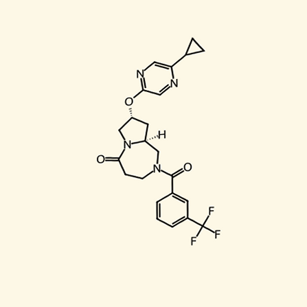 O=C(c1cccc(C(F)(F)F)c1)N1CCC(=O)N2C[C@H](Oc3cnc(C4CC4)cn3)C[C@H]2C1